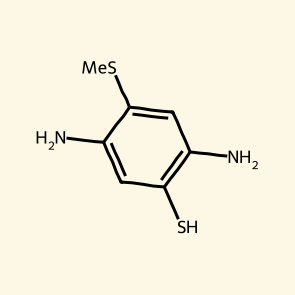 CSc1cc(N)c(S)cc1N